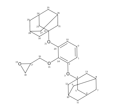 c1cc(OC23CC4CC(CC(C4)C2)C3)c(OCC2CO2)c(OC23CC4CC(CC(C4)C2)C3)c1